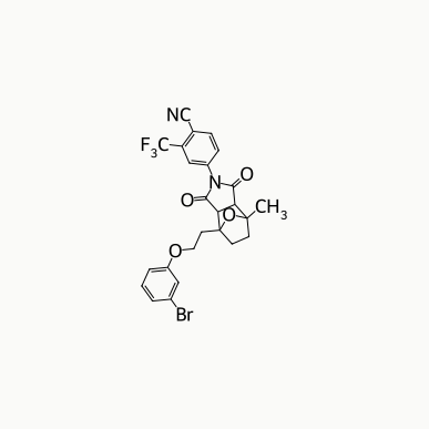 CC12CCC(CCOc3cccc(Br)c3)(O1)C1C(=O)N(c3ccc(C#N)c(C(F)(F)F)c3)C(=O)C12